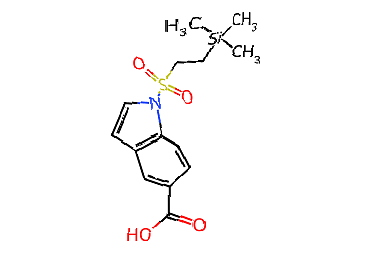 C[Si](C)(C)CCS(=O)(=O)n1ccc2cc(C(=O)O)ccc21